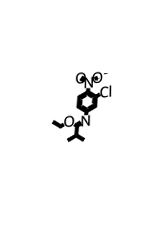 CCOC(=Nc1ccc([N+](=O)[O-])c(Cl)c1)C(C)C